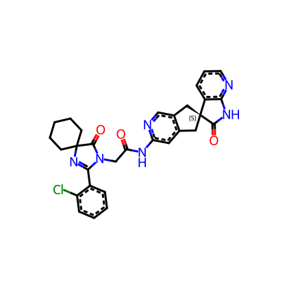 O=C(CN1C(=O)C2(CCCCC2)N=C1c1ccccc1Cl)Nc1cc2c(cn1)C[C@]1(C2)C(=O)Nc2ncccc21